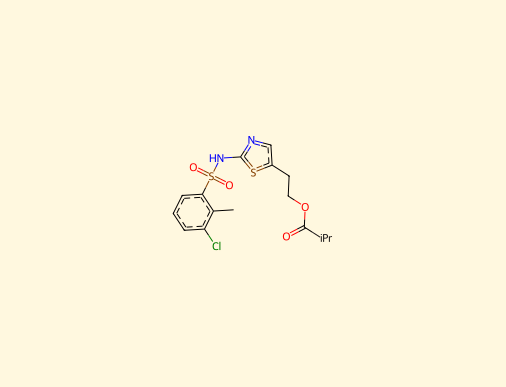 Cc1c(Cl)cccc1S(=O)(=O)Nc1ncc(CCOC(=O)C(C)C)s1